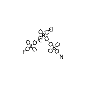 N#Cc1ccc([B-](c2ccccc2)(c2ccccc2)c2ccc(-c3ccc([B-](c4ccccc4)(c4ccc(Cl)cc4)c4ccc(-c5ccc([B-](c6ccccc6)(c6ccccc6)c6ccc(F)cc6)cc5)cc4)cc3)cc2)cc1